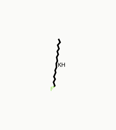 CCCCCCCCCCCCCCCCF.[KH]